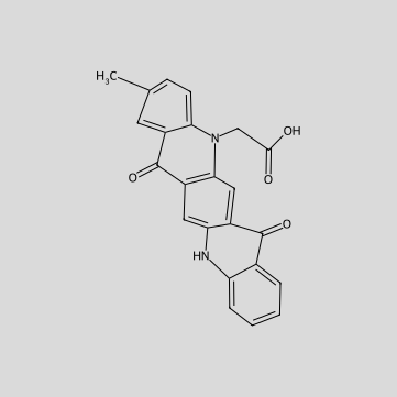 Cc1ccc2c(c1)c(=O)c1cc3[nH]c4ccccc4c(=O)c3cc1n2CC(=O)O